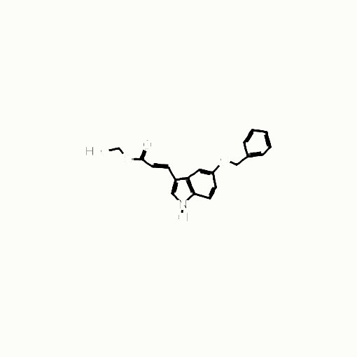 CCOC(=O)C=Cc1cn(C)c2ccc(OCc3ccccc3)cc12